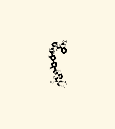 CCN(CC)[C@H](C)C(=O)N1CCC[C@H]1c1ncc(-c2ccc(-c3ccc(-c4cnc([C@@H]5CCCN5C(=O)[C@H](NC(=O)O)c5ccccc5)[nH]4)c(F)c3)cc2F)[nH]1